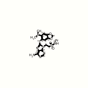 CC(C)NS(=O)(=O)CCn1c(Sc2cc3c(cc2N(C)C)OCO3)nc2c(N)ncnc21